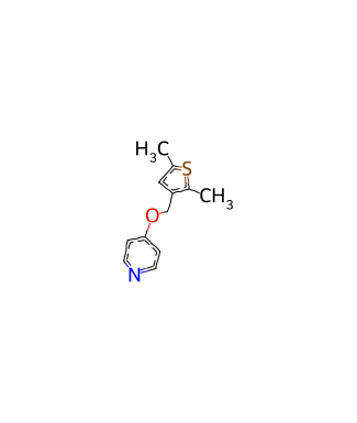 Cc1cc(COc2ccncc2)c(C)s1